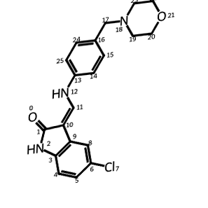 O=C1Nc2ccc(Cl)cc2C1=CNc1ccc(CN2CCOCC2)cc1